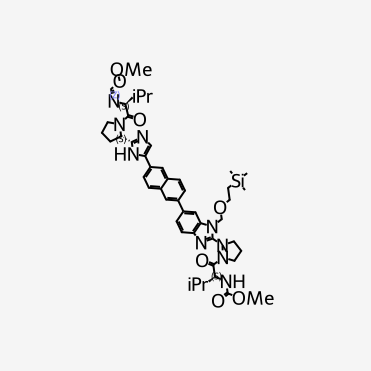 COO/C=N\[C@H](C(=O)N1CCC[C@H]1c1ncc(-c2ccc3cc(-c4ccc5nc(N6CCCN6C(=O)[C@@H](NC(=O)OC)C(C)C)n(COCC[Si](C)(C)C)c5c4)ccc3c2)[nH]1)C(C)C